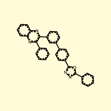 c1ccc(-c2nnc(-c3ccc(-c4cccc(-c5nc6ccccc6nc5-c5ccccc5)c4)cc3)o2)cc1